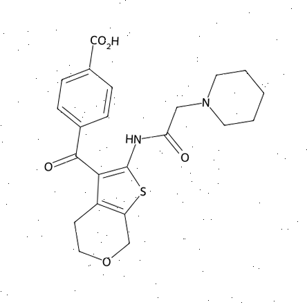 O=C(CN1CCCCC1)Nc1sc2c(c1C(=O)c1ccc(C(=O)O)cc1)CCOC2